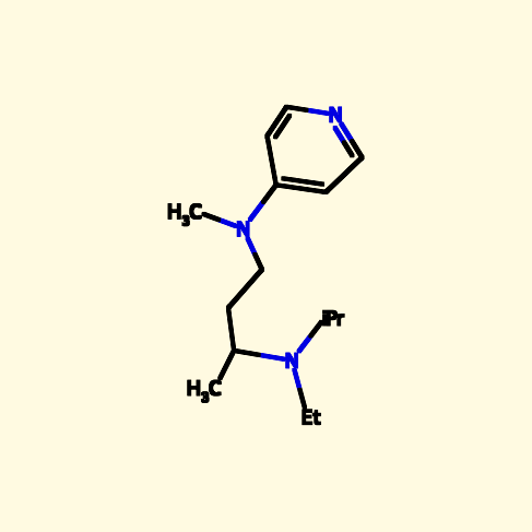 CCN(C(C)C)C(C)CCN(C)c1ccncc1